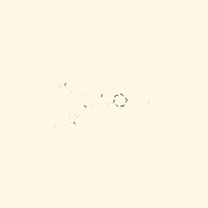 CCCCCCC(=O)NCC(=O)NC(CCCNC(N)=O)C(=O)Nc1ccc(COC=O)cc1